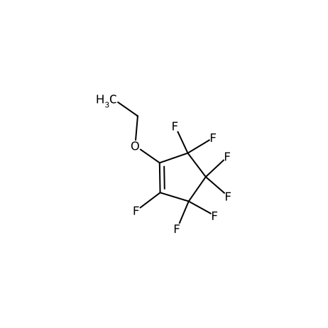 CCOC1=C(F)C(F)(F)C(F)(F)C1(F)F